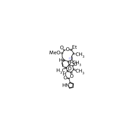 CC[C@@H]1OC(=O)[C@@H](OC)C[C@H]2C=C[C@]3(C)[C@H]4C(=O)[C@@H](C)[C@@H](OC(=O)c5ccc[nH]5)[C@@H]3O[C@@]24/C(C)=C/[C@H]1C